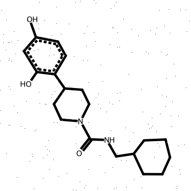 O=C(NCC1CCCCC1)N1CCC(c2ccc(O)cc2O)CC1